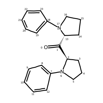 O=C([C@H]1CCCN1c1ccccc1)[C@H]1CCCN1c1ccccc1